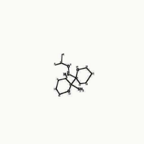 CC(C)O[SiH2]C1(C2([SiH3])CCCCO2)CCCCO1